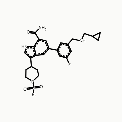 CCS(=O)(=O)N1CCC(c2c[nH]c3c(C(N)=O)cc(-c4cc(F)cc(CNCC5CC5)c4)cc23)CC1